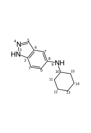 c1cc2[nH]ncc2cc1NC1CCCCC1